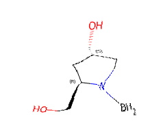 BN1C[C@@H](O)C[C@@H]1CO